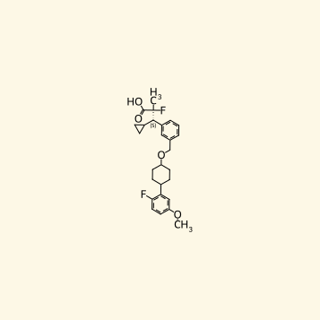 COc1ccc(F)c(C2CCC(OCc3cccc([C@H](C4CC4)C(C)(F)C(=O)O)c3)CC2)c1